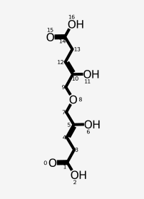 O=C(O)CC=C(O)COCC(O)=CCC(=O)O